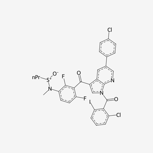 CCC[S+]([O-])N(C)c1ccc(F)c(C(=O)c2cn(C(=O)c3c(Cl)cccc3I)c3ncc(-c4ccc(Cl)cc4)cc23)c1F